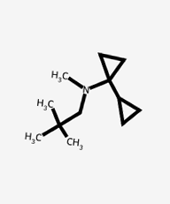 CN(CC(C)(C)C)C1(C2CC2)CC1